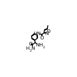 Cc1cc(C(=O)Nc2cccc(C(N)C(N)=O)c2)no1